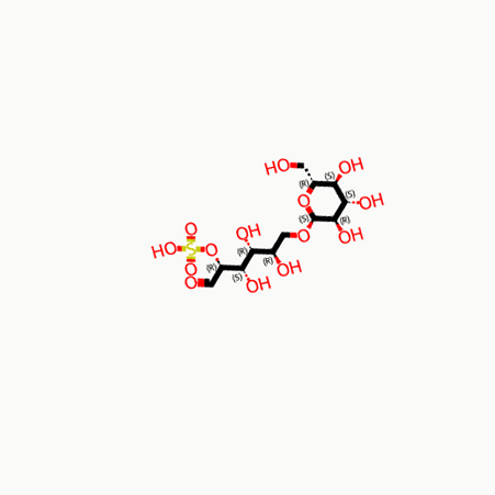 O=C[C@H](OS(=O)(=O)O)[C@@H](O)[C@H](O)[C@H](O)CO[C@H]1O[C@H](CO)[C@@H](O)[C@H](O)[C@H]1O